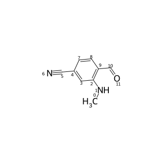 CNc1cc(C#N)ccc1C=O